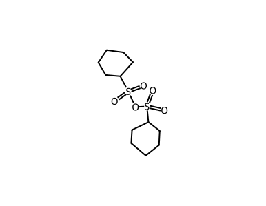 O=S(=O)(OS(=O)(=O)C1CCCCC1)C1CCCCC1